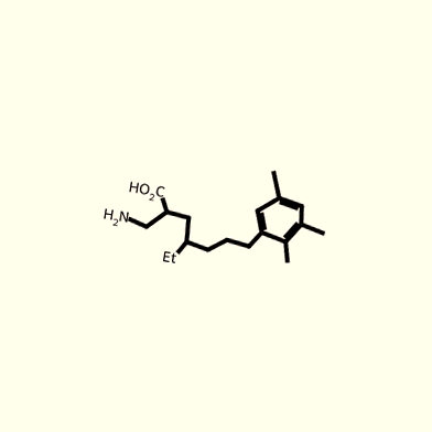 CCC(CCCc1cc(C)cc(C)c1C)CC(CN)C(=O)O